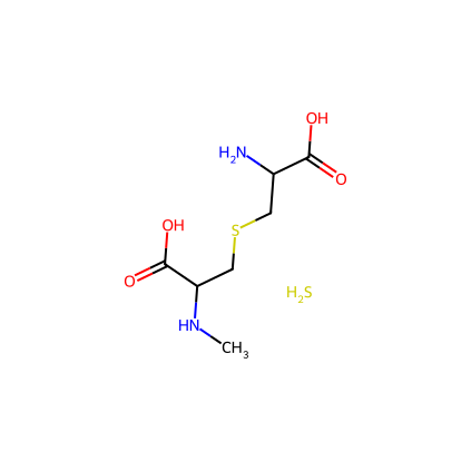 CNC(CSCC(N)C(=O)O)C(=O)O.S